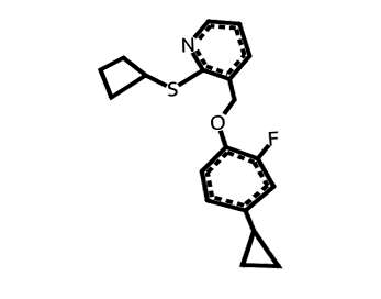 Fc1cc(C2CC2)ccc1OCc1cccnc1SC1CCC1